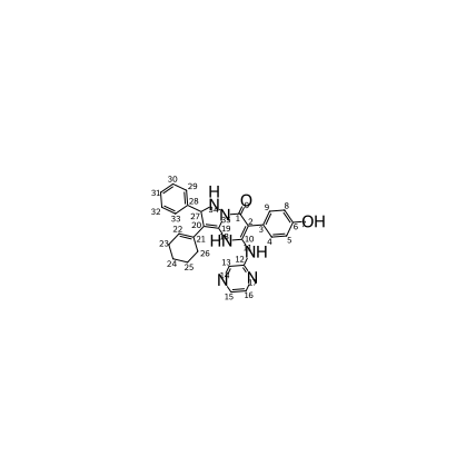 O=C1C(c2ccc(O)cc2)=C(Nc2cnccn2)NC2=C(C3=CCCCC3)C(c3ccccc3)NN12